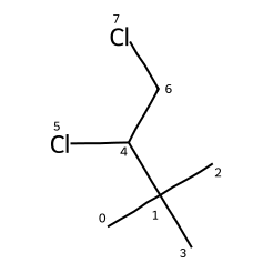 CC(C)(C)C(Cl)CCl